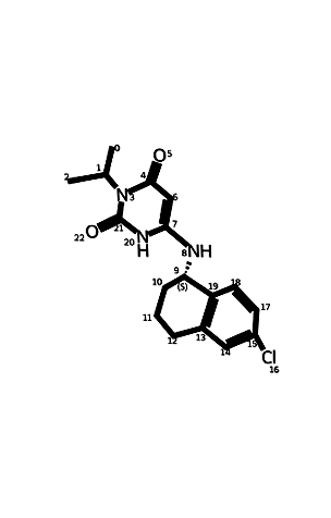 CC(C)n1c(=O)cc(N[C@H]2CCCc3cc(Cl)ccc32)[nH]c1=O